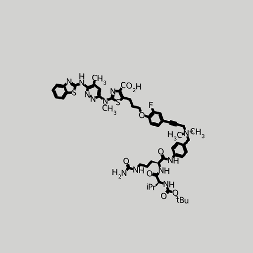 Cc1cc(N(C)c2nc(C(=O)O)c(CCCOc3ccc(C#CC[N+](C)(C)Cc4ccc(NC(=O)[C@H](CCCNC(N)=O)NC(=O)[C@@H](NC(=O)OC(C)(C)C)C(C)C)cc4)cc3F)s2)nnc1Nc1nc2ccccc2s1